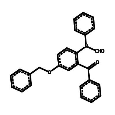 O=CN(c1ccccc1)c1ccc(OCc2ccccc2)cc1C(=O)c1ccccc1